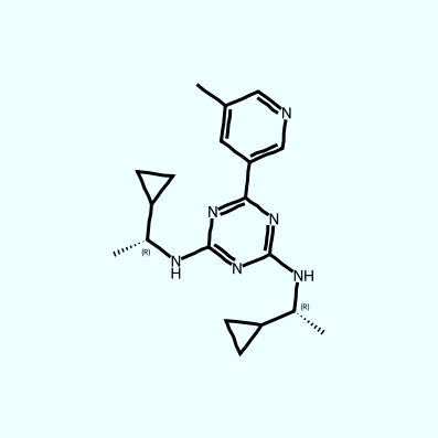 Cc1cncc(-c2nc(N[C@H](C)C3CC3)nc(N[C@H](C)C3CC3)n2)c1